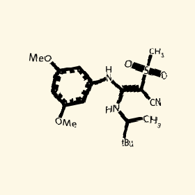 COc1cc(NC(NC(C)C(C)(C)C)=C(C#N)S(C)(=O)=O)cc(OC)c1